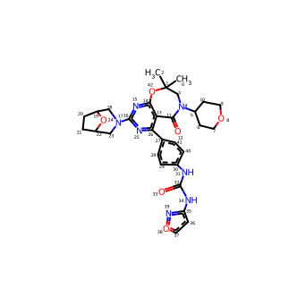 CC1(C)CN(C2CCOCC2)C(=O)c2c(nc(N3CC4CCC(C3)O4)nc2-c2ccc(NC(=O)Nc3ccon3)cc2)O1